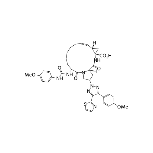 COc1ccc(NC(=O)N[C@@H]2CCCCC/C=C\[C@@H]3C[C@]3(C(=O)O)NC(=O)[C@@H]3CC(n4nc(-c5ccc(OC)cc5)c(-c5nccs5)n4)CN3C2=O)cc1